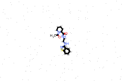 CC(=O)N1CCCCC1C(=O)NCCNc1nsc2ccccc12